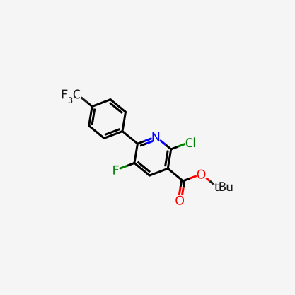 CC(C)(C)OC(=O)c1cc(F)c(-c2ccc(C(F)(F)F)cc2)nc1Cl